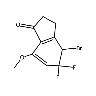 COC1=CC(F)(F)C(Br)C2=C1C(=O)CC2